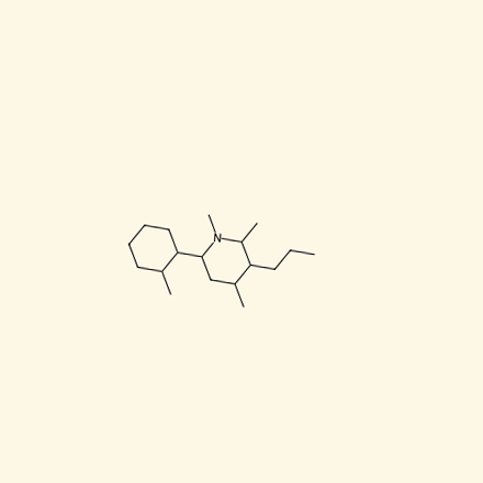 CCCC1C(C)CC(C2CCCCC2C)N(C)C1C